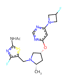 CC(=O)Nc1nc(F)c(CN2C[C@H](Oc3cc(N4CC(F)C4)ncn3)C[C@@H]2C)s1